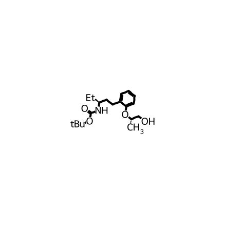 CC[C@@H](CCc1ccccc1O[C@@H](C)CO)NC(=O)OC(C)(C)C